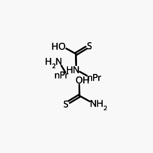 CCCN.CCCNC(O)=S.NC(O)=S